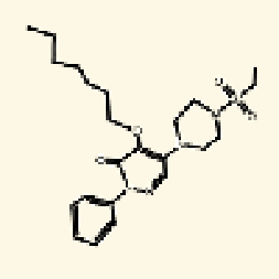 CCCCCCCOc1c(N2CCN(S(=O)(=O)CC)CC2)cnn(-c2ccccc2)c1=O